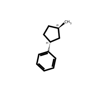 C[C@@H]1CC[C@@H](c2ccccc2)C1